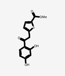 COC(=O)c1ccc(CC(=O)c2ccc(O)cc2O)s1